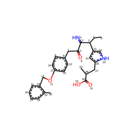 CCC(C(=N)C(=O)Cc1ccc(OCc2ccccc2C)cc1)c1c[nH]c(CC(C)C(=O)O)c1